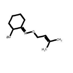 CCC(C)C1CCCCC1=NOCC=C(C)C